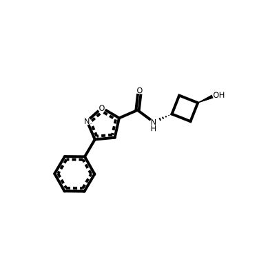 O=C(N[C@H]1C[C@H](O)C1)c1cc(-c2ccccc2)no1